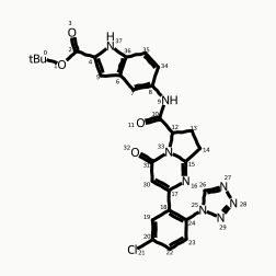 CC(C)(C)OC(=O)c1cc2cc(NC(=O)C3CCc4nc(-c5cc(Cl)ccc5-n5cnnn5)cc(=O)n43)ccc2[nH]1